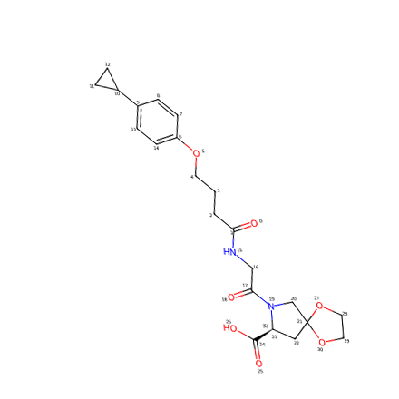 O=C(CCCOc1ccc(C2CC2)cc1)NCC(=O)N1CC2(C[C@H]1C(=O)O)OCCO2